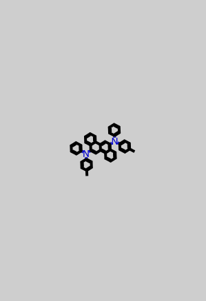 Cc1ccc(N(c2ccccc2)c2cc3c4ccccc4c(N(c4ccccc4)c4ccc(C)cc4)cc3c3ccccc23)cc1